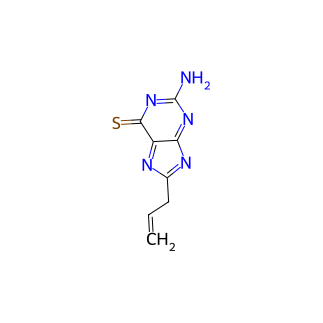 C=CCC1=NC2=NC(N)=NC(=S)C2=N1